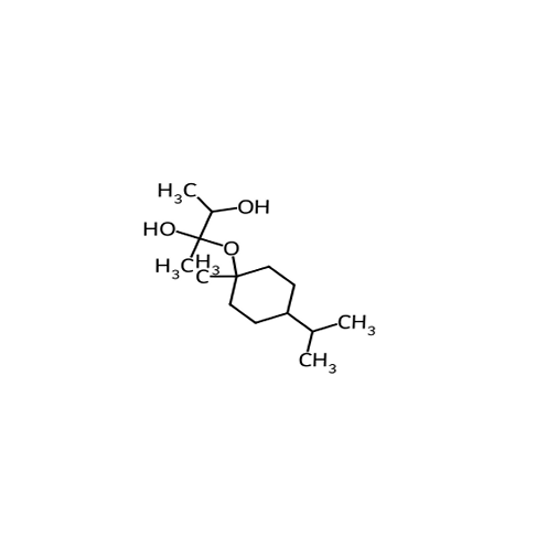 CC(C)C1CCC(C)(OC(C)(O)C(C)O)CC1